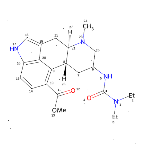 CCN(CC)C(=O)NC1C[C@@H]2c3c(C(=O)OC)ccc4[nH]cc(c34)C[C@H]2N(C)C1